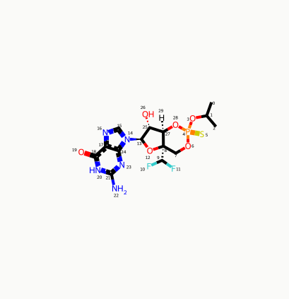 CC(C)OP1(=S)OC[C@@]2(C(F)F)O[C@@H](n3cnc4c(=O)[nH]c(N)nc43)[C@H](O)[C@H]2O1